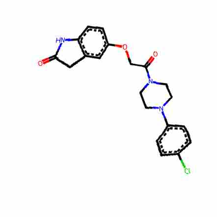 O=C1Cc2cc(OCC(=O)N3CCN(c4ccc(Cl)cc4)CC3)ccc2N1